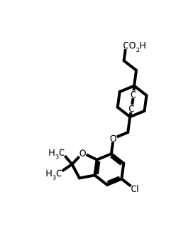 CC1(C)Cc2cc(Cl)cc(OCC34CCC(CCC(=O)O)(CC3)CC4)c2O1